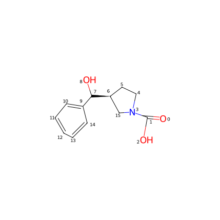 O=C(O)N1CC[C@H](C(O)c2ccccc2)C1